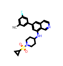 N#Cc1cc(F)cc(-c2cc(NC3CCN(S(=O)(=O)C4CC4)CC3)c3cnccc3c2)c1